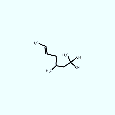 CC=CCC(C)CC(C)(C)C#N